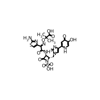 CC(C)(ON=C(C(=O)N[C@@H]1C(=O)N(S(=O)(=O)O)[C@H]1Cn1cc(-c2cc(=O)c(O)c[nH]2)nn1)c1csc(N)n1)C(=O)O